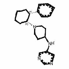 c1ccc([C@H]2CCCC[C@H]2N2CCC(Nc3cncnc3)CC2)cc1